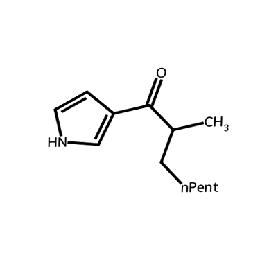 CCCCCCC(C)C(=O)c1cc[nH]c1